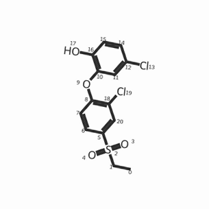 CCS(=O)(=O)c1ccc(Oc2cc(Cl)ccc2O)c(Cl)c1